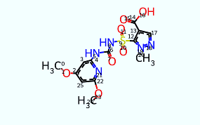 COc1cc(NC(=O)NS(=O)(=O)c2c(C(=O)O)cnn2C)nc(OC)c1